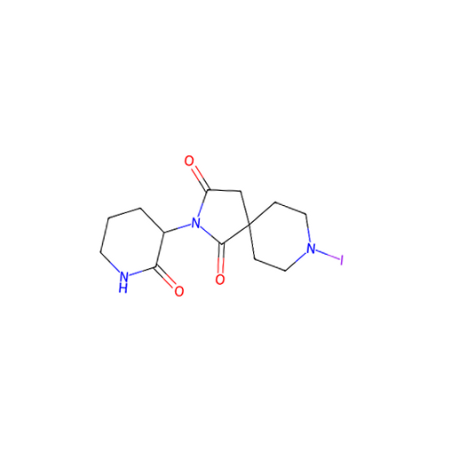 O=C1NCCCC1N1C(=O)CC2(CCN(I)CC2)C1=O